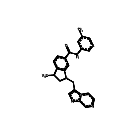 CC1CN(Cc2cnc3cnccn23)c2cc(C(=O)Nc3cncc(C(F)(F)F)c3)ccc21